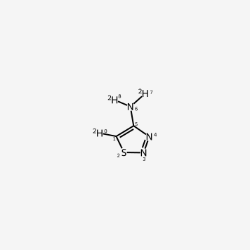 [2H]c1snnc1N([2H])[2H]